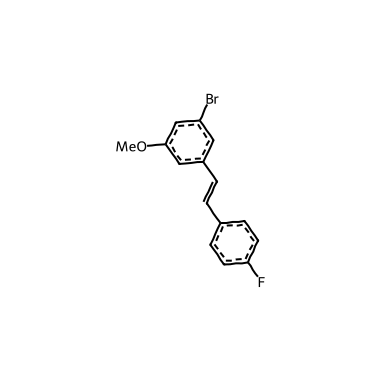 COc1cc(Br)cc(C=Cc2ccc(F)cc2)c1